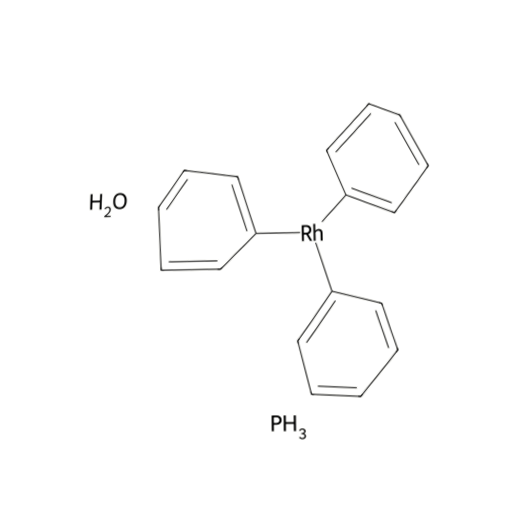 O.P.c1cc[c]([Rh]([c]2ccccc2)[c]2ccccc2)cc1